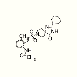 CC(=O)Nc1cccc(C)c1C=CS(=O)(=O)N1CCC2(CC1)N=C(C1CCCCC1)NC2=O